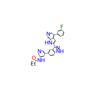 CCC(=O)Nc1cncc(-c2ccc3[nH]nc(-c4cc5c(-c6cccc(F)c6)cncc5[nH]4)c3c2)c1